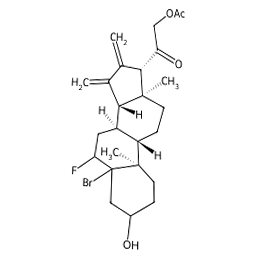 C=C1C(=C)[C@H]2[C@@H]3CC(F)C4(Br)CC(O)CC[C@]4(C)[C@H]3CC[C@]2(C)[C@H]1C(=O)COC(C)=O